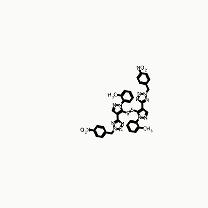 Cc1ccccc1-n1ncc(-c2nnn(Cc3ccc([N+](=O)[O-])cc3)n2)c1SSc1c(-c2nnn(Cc3ccc([N+](=O)[O-])cc3)n2)cnn1-c1ccccc1C